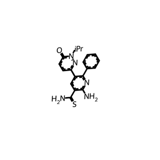 CC(C)n1nc(-c2cc(C(N)=S)c(N)nc2-c2ccccc2)ccc1=O